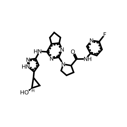 O=C(Nc1ccc(F)nc1)C1CCCN1c1nc2c(c(Nc3cc(C4C[C@H]4O)[nH]n3)n1)CCC2